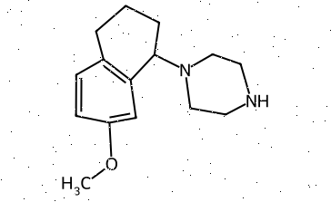 COc1ccc2c(c1)C(N1CCNCC1)CCC2